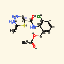 C=C(N)S/C(=C\N)C(=O)Nc1c(Cl)cccc1COC(=O)C(C)(C)C